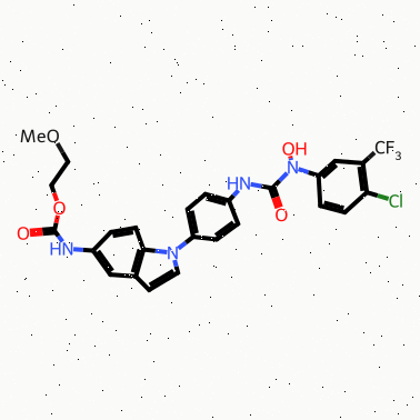 COCCOC(=O)Nc1ccc2c(ccn2-c2ccc(NC(=O)N(O)c3ccc(Cl)c(C(F)(F)F)c3)cc2)c1